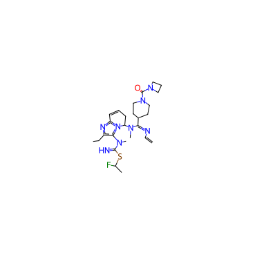 C=C/N=C(/C1CCN(C(=O)N2CCC2)CC1)N(C)C1CC=Cc2nc(CC)c(N(C)C(=N)SC(C)F)n21